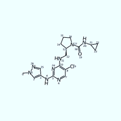 Cn1cc(Nc2ncc(Cl)c(NC[C@H]3CCCN3C(=O)NC3CC3)n2)cn1